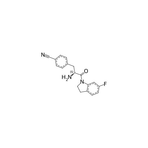 N#Cc1ccc(C[C@H](N)C(=O)N2CCc3ccc(F)cc32)cc1